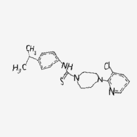 CC(C)c1ccc(NC(=S)N2CCN(c3ncccc3Cl)CC2)cc1